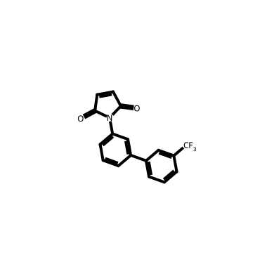 O=C1C=CC(=O)N1c1cccc(-c2cccc(C(F)(F)F)c2)c1